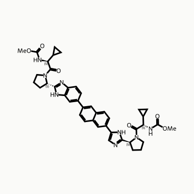 COC(=O)N[C@H](C(=O)N1CCC[C@H]1c1ncc(-c2ccc3cc(-c4ccc5nc([C@@H]6CCCN6C(=O)[C@@H](NC(=O)OC)C6CC6)[nH]c5c4)ccc3c2)[nH]1)C1CC1